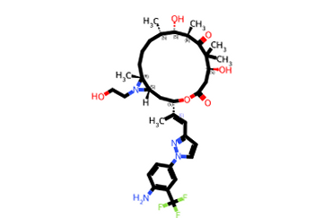 C/C(=C\c1ccn(-c2ccc(N)c(C(F)(F)F)c2)n1)[C@@H]1C[C@@H]2N(CCO)[C@]2(C)CCC[C@H](C)[C@H](O)[C@@H](C)C(=O)C(C)(C)[C@@H](O)CC(=O)O1